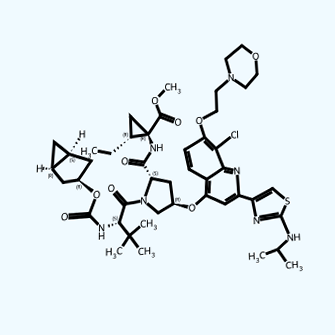 CC[C@@H]1C[C@]1(NC(=O)[C@@H]1C[C@@H](Oc2cc(-c3csc(NC(C)C)n3)nc3c(Cl)c(OCCN4CCOCC4)ccc23)CN1C(=O)[C@@H](NC(=O)O[C@@H]1C[C@@H]2C[C@@H]2C1)C(C)(C)C)C(=O)OC